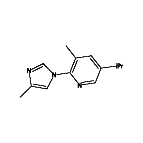 Cc1cn(-c2ncc(C(C)C)cc2C)cn1